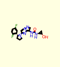 O=C(Nc1cnn2ccc(N3CCC[C@@H]3c3cc(F)ccc3F)nc12)N[C@@H]1C[C@H]1O